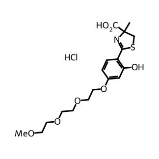 COCCOCCOCCOc1ccc(C2=NC(C)(C(=O)O)CS2)c(O)c1.Cl